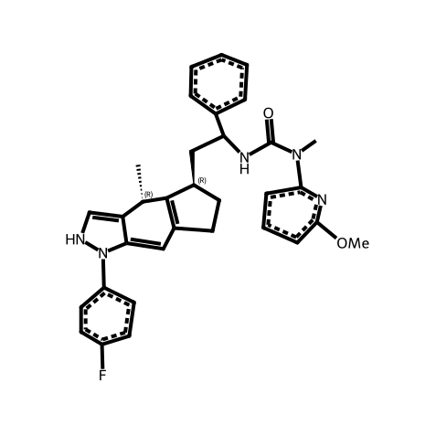 COc1cccc(N(C)C(=O)NC(C[C@H]2CCC3=C2[C@@H](C)C2=CNN(c4ccc(F)cc4)C2=C3)c2ccccc2)n1